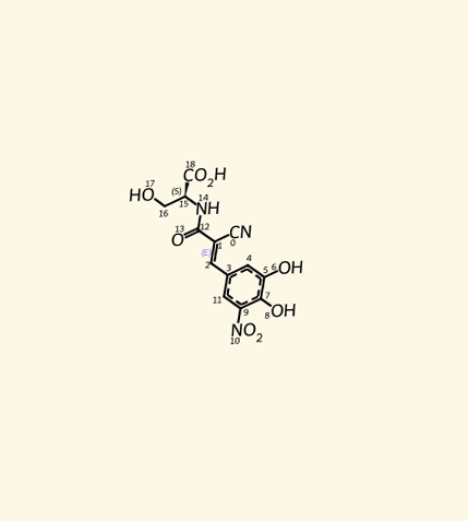 N#C/C(=C\c1cc(O)c(O)c([N+](=O)[O-])c1)C(=O)N[C@@H](CO)C(=O)O